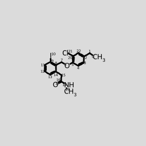 CCc1ccc(OCc2c(I)cccc2CC(=O)NC)c(Cl)c1